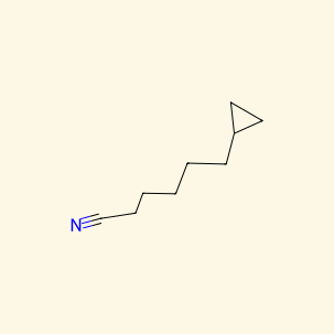 N#CCCCCCC1CC1